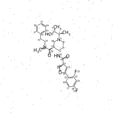 C[C@H](O)[C@@H](C)N1CC[C@H](NC(=O)c2cc(-c3ccc(F)cc3F)on2)[C@@H](C(=O)N(C)CCc2ccccc2)C1